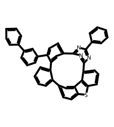 c1ccc(-c2cccc(-c3ccc4cc3c3ccccc3c3ccc5sc6cccc(c7nc(-c8ccccc8)nc4n7)c6c5c3)c2)cc1